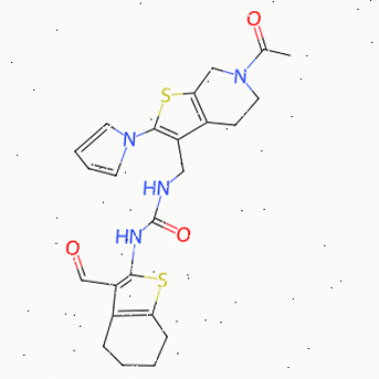 CC(=O)N1CCc2c(sc(-n3cccc3)c2CNC(=O)Nc2sc3c(c2C=O)CCCC3)C1